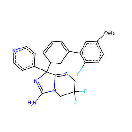 COc1ccc(F)c(C2=CC=CC(C3(c4ccncc4)N=C(N)N4CC(F)(F)CN=C43)C2)c1